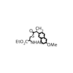 CCOC(=O)C(CSC(=O)[C@H](C)c1ccc2cc(OC)ccc2c1)NC(C)=O